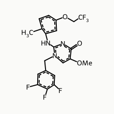 COc1cn(Cc2cc(F)c(F)c(F)c2)c(Nc2cc(OCC(F)(F)F)ccc2C)nc1=O